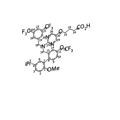 COc1ccc(C(C)C)cc1-c1ccc(OC(F)(F)F)cc1CN(Cc1cc(C(F)(F)F)cc(C(F)(F)F)c1)c1ncc(OCCCC(=O)O)cn1